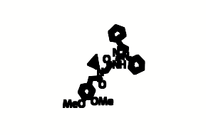 COc1ccc(CC(=O)N(CC(=O)Nc2nc(-c3ccccc3)cn2-c2ccccc2)C2CC2)cc1OC